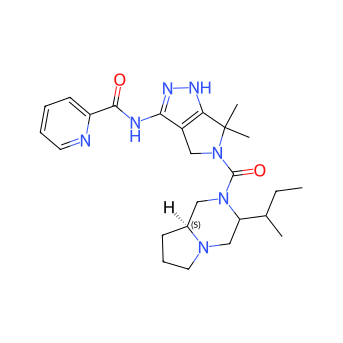 CCC(C)C1CN2CCC[C@H]2CN1C(=O)N1Cc2c(NC(=O)c3ccccn3)n[nH]c2C1(C)C